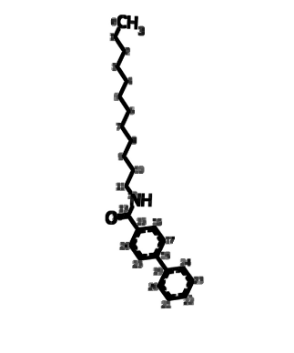 CCCCCCCCCCCCNC(=O)c1ccc(-c2cc[c]cc2)cc1